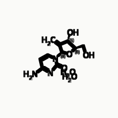 C=C1[C@H](n2ccc(N)nc2=O)O[C@H](CO)[C@H]1O.O.O